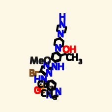 COc1cc(N2CCC(N3CCNCC3)CC2)c(C(C)O)cc1Nc1ncc(Br)c(Nc2ccc3nccnc3c2P(C)(C)=O)n1